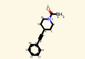 BC(=O)N1CCC(C#Cc2ccccc2)CC1